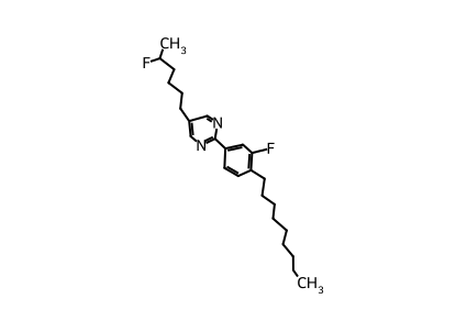 CCCCCCCCCc1ccc(-c2ncc(CCCCC(C)F)cn2)cc1F